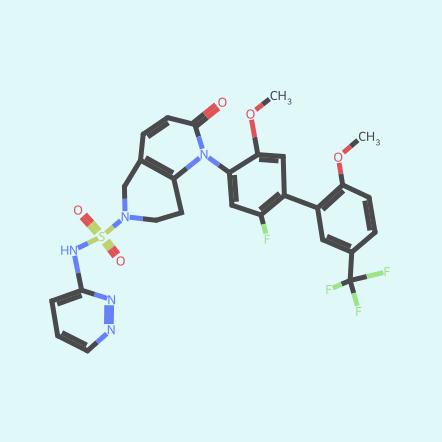 COc1ccc(C(F)(F)F)cc1-c1cc(OC)c(-n2c3c(ccc2=O)CN(S(=O)(=O)Nc2cccnn2)CC3)cc1F